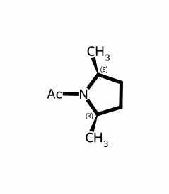 CC(=O)N1[C@H](C)CC[C@@H]1C